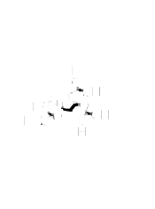 CC(C)OC(=C[CH]([Sn])OC(C)C)OC(C)C